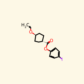 C=CO[C@H]1CC[C@H](C(=O)Oc2ccc(I)cc2)CC1